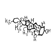 C[C@H]1CC[C@@]2(OC1)O[C@H]1C[C@H]3[C@@H]4CC[C@H]5C[C@@H](O)C[C@@H](O)[C@]5(C)[C@H]4CC[C@]3(C)[C@H]1[C@@H]2C